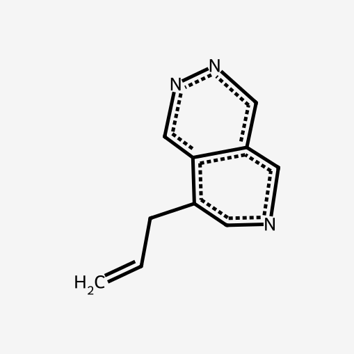 C=CCc1cncc2cnncc12